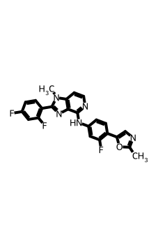 Cc1ncc(-c2ccc(Nc3nccc4c3nc(-c3ccc(F)cc3F)n4C)cc2F)o1